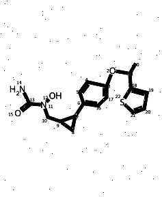 CC(Oc1ccc(C2CC2CN(O)C(N)=O)cc1)c1cccs1